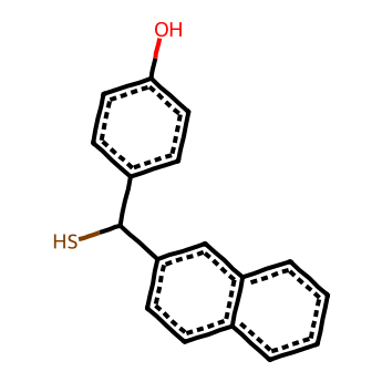 Oc1ccc(C(S)c2ccc3ccccc3c2)cc1